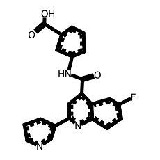 O=C(O)c1cccc(NC(=O)c2cc(-c3cccnc3)nc3ccc(F)cc23)c1